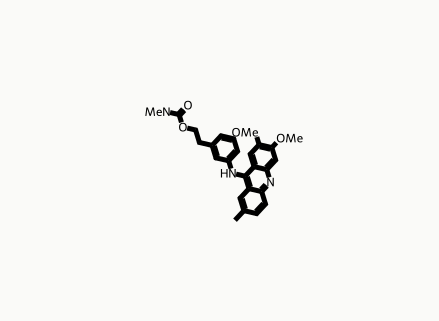 CNC(=O)OCCc1cccc(Nc2c3cc(C)ccc3nc3cc(OC)c(OC)cc23)c1